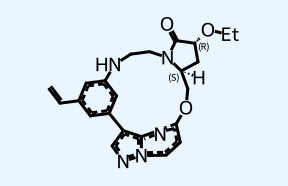 C=Cc1cc2cc(c1)-c1cnn3ccc(nc13)OC[C@@H]1C[C@@H](OCC)C(=O)N1CCN2